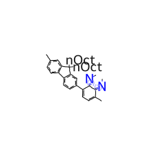 CCCCCCCCC1(CCCCCCCC)c2cc(C)ccc2-c2ccc(C3=CC=C(C)C(=N/C)/C3=N\C)cc21